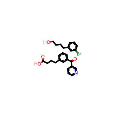 O=C(O)CCCc1cccc(C(=O)c2cccnc2)c1.OCCCCc1cccc(Br)c1